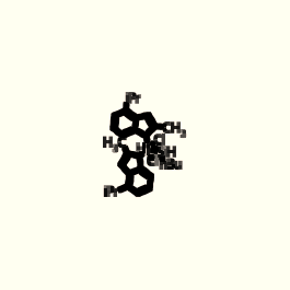 CCCC[SiH]=[Hf]([Cl])([Cl])([CH]1C(C)=Cc2c(C(C)C)cccc21)[CH]1C(C)=Cc2c(C(C)C)cccc21